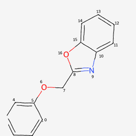 [c]1ccccc1OCc1nc2ccccc2o1